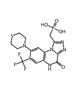 O=c1[nH]c2cc(C(F)(F)F)c(N3CCSCC3)cc2n2c(CP(=O)(O)O)nnc12